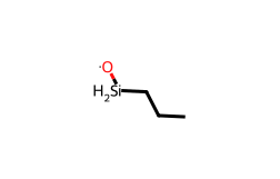 CCC[SiH2][O]